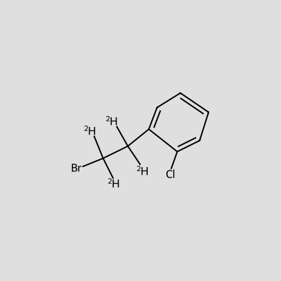 [2H]C([2H])(Br)C([2H])([2H])c1ccccc1Cl